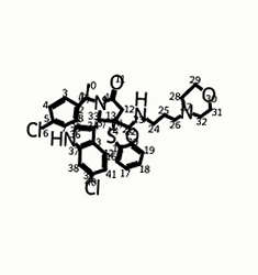 C[C@H](c1ccc(Cl)cc1)N1C(=O)C[C@](Sc2ccccc2)(C(=O)NCCCN2CCOCC2)[C@@H]1c1c[nH]c2cc(Cl)ccc12